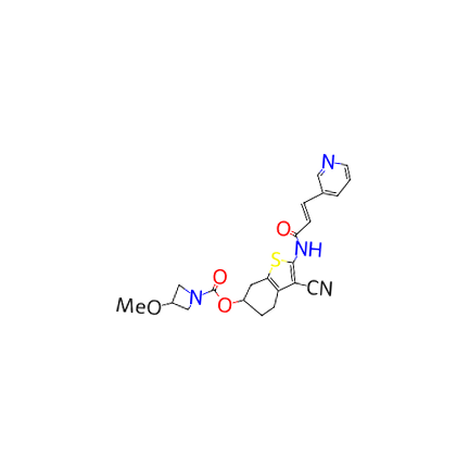 COC1CN(C(=O)OC2CCc3c(sc(NC(=O)/C=C/c4cccnc4)c3C#N)C2)C1